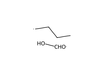 O=[C]O.[CH2]CCC